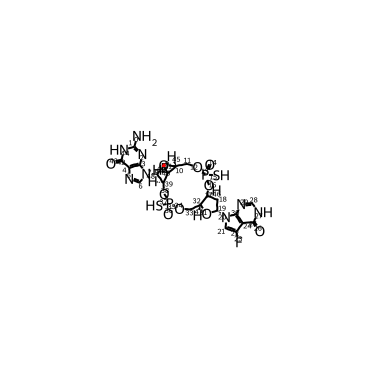 Nc1nc2c(ncn2[C@@H]2O[C@@H]3COP(=O)(S)O[C@H]4C[C@H](n5cc(F)c6c(=O)[nH]cnc65)O[C@@H]4COP(=O)(S)O[C@@H]2[C@@H]3F)c(=O)[nH]1